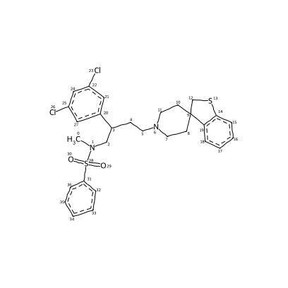 CN(CC(CCN1CCC2(CC1)CSc1ccccc12)c1cc(Cl)cc(Cl)c1)S(=O)(=O)c1ccccc1